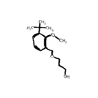 COc1c(COCCCO)cccc1C(C)(C)C